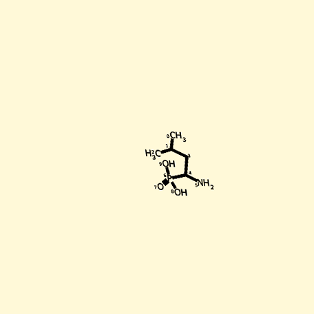 CC(C)CC(N)P(=O)(O)O